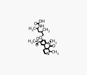 Cc1nccc2c1c(=O)n(C)c1cc(OCC(C)CC(C)NC(=O)O)c(S(C)(=O)=O)cc21